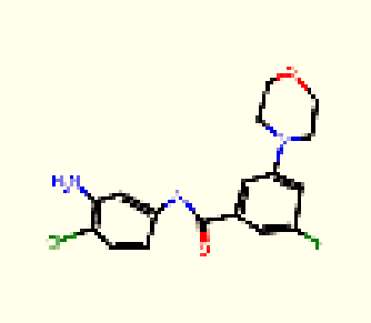 Nc1cc(NC(=O)c2cc(F)cc(N3CCOCC3)c2)ccc1Cl